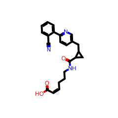 N#Cc1ccccc1-c1ccc(CC2CC2C(=O)NCCC/C=C\C(=O)O)cn1